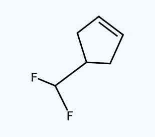 FC(F)C1CC=CC1